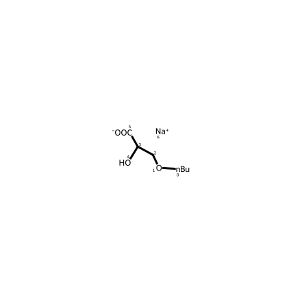 CCCCOCC(O)C(=O)[O-].[Na+]